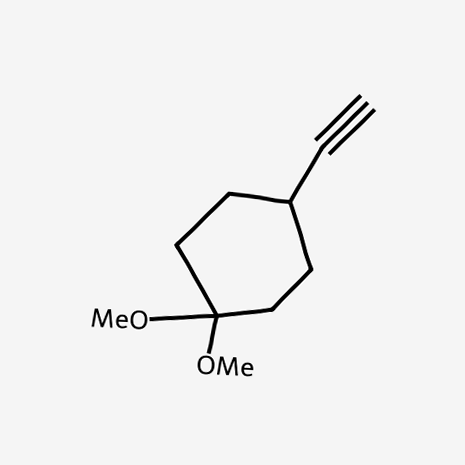 C#CC1CCC(OC)(OC)CC1